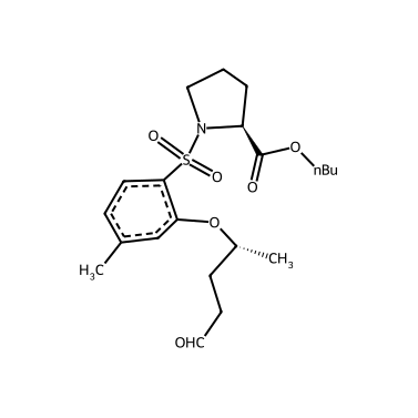 CCCCOC(=O)[C@@H]1CCCN1S(=O)(=O)c1ccc(C)cc1O[C@H](C)CCC=O